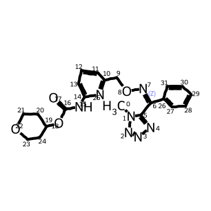 Cn1nnnc1/C(=N\OCc1cccc(NC(=O)OC2CCOCC2)n1)c1ccccc1